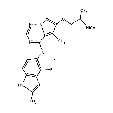 CNC(C)COc1cn2ncnc(Oc3ccc4[nH]c(C)cc4c3F)c2c1C